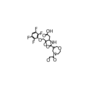 O=CC(=O)N1CCOC[C@H](C(=O)NC(CC(=O)O)C(=O)COc2c(F)c(F)cc(F)c2F)C1